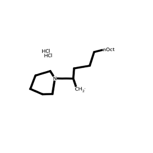 Cl.Cl.[CH2]C(CCCCCCCCCCC)N1CCCCC1